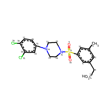 Cc1cc(CC(=O)O)cc(S(=O)(=O)N2CCN(c3ccc(Cl)c(Cl)c3)CC2)c1